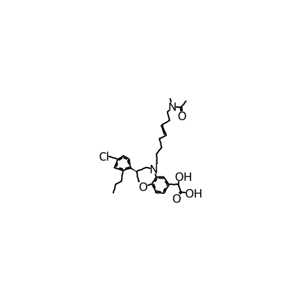 CCCc1cc(Cl)ccc1[C@@H]1COc2ccc(C(O)C(=O)O)cc2N(CCCC/C=C/CCN(C)C(C)=O)C1